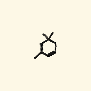 CC1=[C]C(C)(C)CC=C1